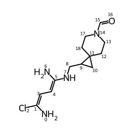 N/C(Cl)=C\C=C(/N)NCC1CC12CCN(C=O)CC2